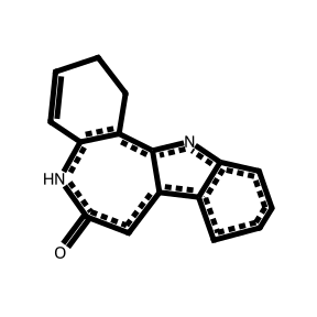 O=c1cc2c3ccccc3nc-2c2c([nH]1)C=CCC2